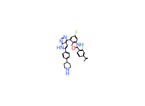 C=C(C)c1ccc(C(=O)Nc2cc(F)cc(-c3ncnc4[nH]c(-c5ccc(C6CCNCC6)cc5)cc34)c2C)c(F)c1